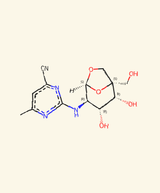 Cc1cc(C#N)nc(N[C@H]2[C@H]3OC[C@](CO)(O3)[C@H](O)[C@@H]2O)n1